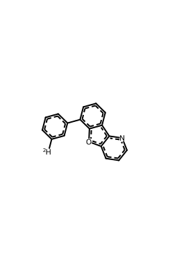 [2H]c1cccc(-c2cccc3c2oc2cccnc23)c1